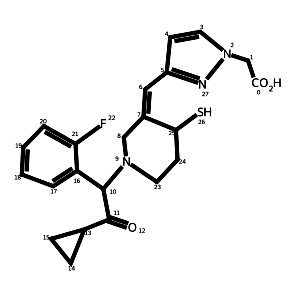 O=C(O)Cn1ccc(/C=C2/CN(C(C(=O)C3CC3)c3ccccc3F)CCC2S)n1